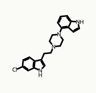 Clc1ccc2c(CCN3CCN(c4cccc5[nH]ccc45)CC3)c[nH]c2c1